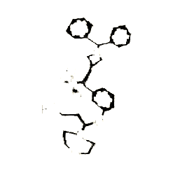 CCCC(Oc1cccc(C(=C2CN(C(c3ccccc3)c3ccccc3)C2)S(C)(=O)=O)c1)N1CCOCC1